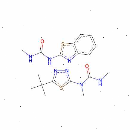 CNC(=O)N(C)c1nnc(C(C)(C)C)s1.CNC(=O)Nc1nc2ccccc2s1